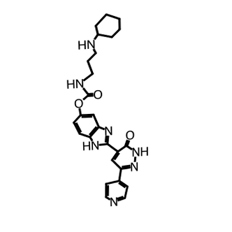 O=C(NCCCNC1CCCCC1)Oc1ccc2[nH]c(-c3cc(-c4ccncc4)n[nH]c3=O)nc2c1